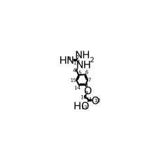 N=C(N)NCc1ccc(OCC(=O)O)cc1